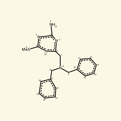 CSc1nc(N)nc(CN(Cc2ccccc2)Cc2ccccc2)n1